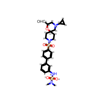 CN(C)S(=O)(=O)Nc1cccc(-c2ccc(S(=O)(=O)N3CCC4(CC3)CN(C3CC3)CC(C=O)O4)cc2)c1